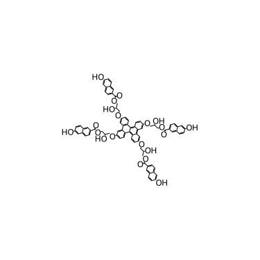 O=C(OCC(O)COc1ccc2c(c1)c1cc(OCC(O)COC(=O)c3ccc4cc(O)ccc4c3)ccc1c1c3ccc(OCC(O)COC(=O)c4ccc5cc(O)ccc5c4)cc3c3cc(OCC(O)COC(=O)c4ccc5cc(O)ccc5c4)ccc3c21)c1ccc2cc(O)ccc2c1